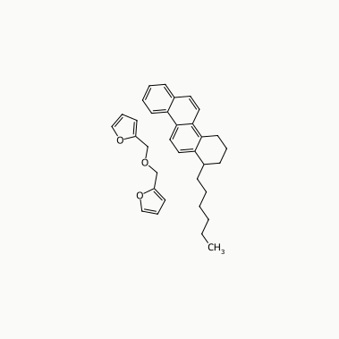 CCCCCCC1CCCc2c1ccc1c2ccc2ccccc21.c1coc(COCc2ccco2)c1